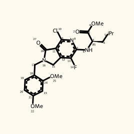 COC(=O)[C@@H](CC(C)C)Nc1nc(Cl)c2c(c1F)CN(Cc1ccc(OC)cc1OC)C2=O